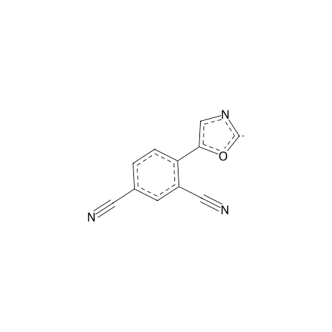 N#Cc1ccc(-c2cn[c]o2)c(C#N)c1